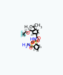 CC(C)c1ccc(C(=O)NS(=O)(=O)c2ccccc2S(N)(=O)=O)cc1COCC(F)(F)F